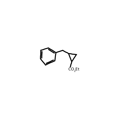 CCOC(=O)C1CC1Cc1ccccc1